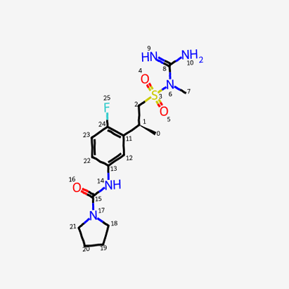 C[C@H](CS(=O)(=O)N(C)C(=N)N)c1cc(NC(=O)N2CCCC2)ccc1F